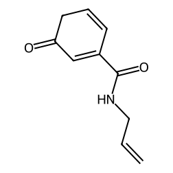 C=CCNC(=O)C1=CC(=O)CC=C1